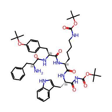 CC(C)(C)OC(=O)NCCCC[C@H](NC(=O)[C@H](Cc1ccc(OC(C)(C)C)cc1)NC(=O)[C@@H](N)Cc1ccccc1)C(=O)N[C@@H](Cc1c[nH]c2ccccc12)C(=O)NC(=O)OC(C)(C)C